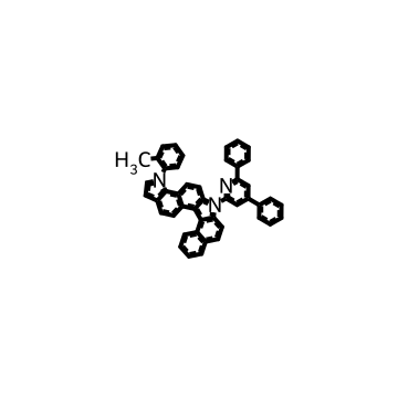 Cc1ccccc1-n1ccc2ccc3c(ccc4c3c3c5ccccc5ccc3n4-c3cc(-c4ccccc4)cc(-c4ccccc4)n3)c21